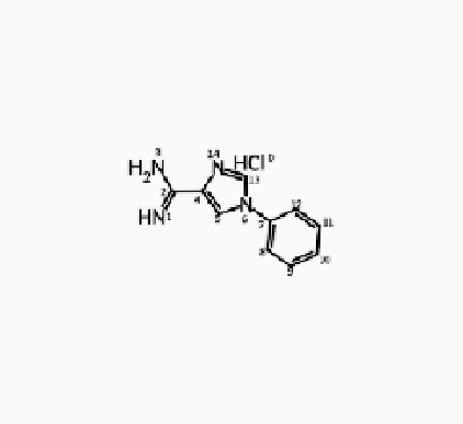 Cl.N=C(N)c1cn(-c2ccccc2)cn1